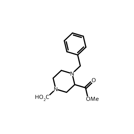 COC(=O)C1CN(C(=O)O)CCN1Cc1ccccc1